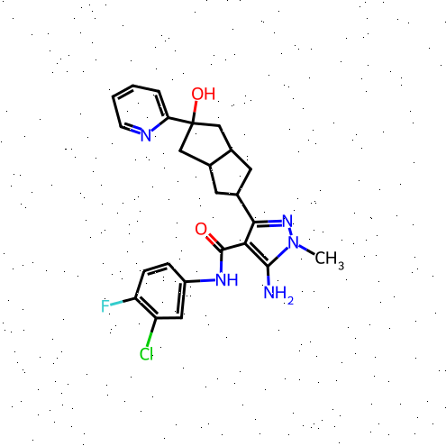 Cn1nc(C2CC3CC(O)(c4ccccn4)CC3C2)c(C(=O)Nc2ccc(F)c(Cl)c2)c1N